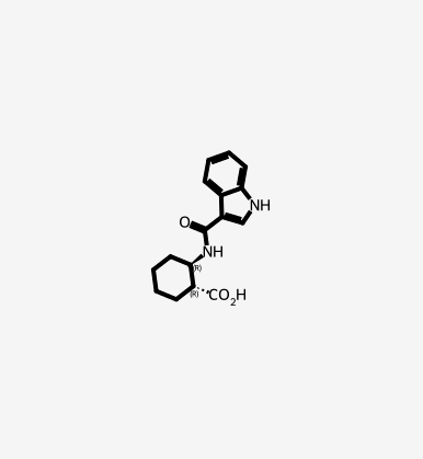 O=C(N[C@@H]1CCCC[C@H]1C(=O)O)c1c[nH]c2ccccc12